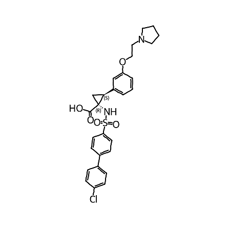 O=C(O)[C@@]1(NS(=O)(=O)c2ccc(-c3ccc(Cl)cc3)cc2)C[C@H]1c1cccc(OCCN2CCCC2)c1